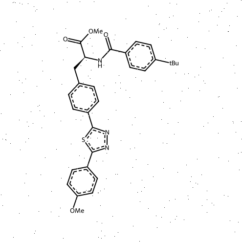 COC(=O)[C@H](Cc1ccc(-c2nnc(-c3ccc(OC)cc3)s2)cc1)NC(=O)c1ccc(C(C)(C)C)cc1